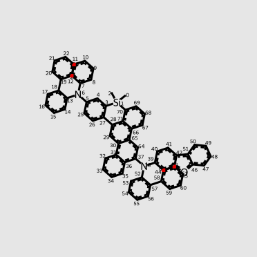 C[Si]1(C)c2cc(N(c3ccccc3)c3ccccc3-c3ccccc3)ccc2-c2cc3c4ccccc4c(N(c4ccc5c(c4)oc4ccccc45)c4ccccc4-c4ccccc4)cc3c3cccc1c23